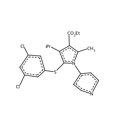 CCOC(=O)c1c(C(C)C)c(Sc2cc(Cl)cc(Cl)c2)n(-c2ccncc2)c1C